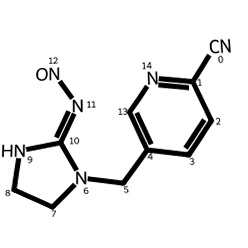 N#Cc1ccc(CN2CCN/C2=N\N=O)cn1